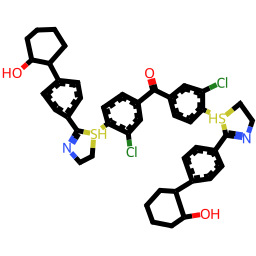 O=C(c1ccc([SH]2CCN=C2c2ccc(C3CCCCC3O)cc2)c(Cl)c1)c1ccc([SH]2CCN=C2c2ccc(C3CCCCC3O)cc2)c(Cl)c1